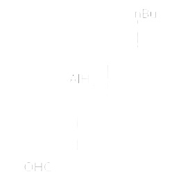 CCCCCCCCCC=O.[AlH3]